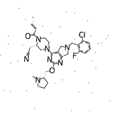 C=CC(=O)N1CCN(c2nc(OC[C@@H]3CCCN3C)nc3c2CN(Cc2c(F)cccc2Cl)C3)C[C@@H]1CC#N